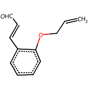 C=CCOc1ccccc1/C=C/C=O